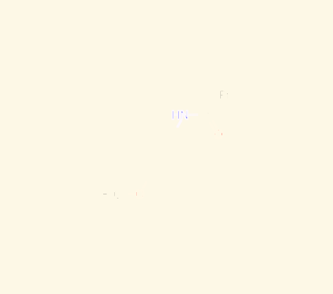 CC(C)C(=O)NC1C=CC(OC(F)(F)F)=CC1